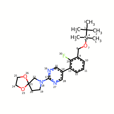 CC(C)(C)[Si](C)(C)OCc1cccc(-c2cnc(N3CCC4(C3)OCCO4)nc2)c1F